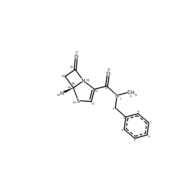 CN(Cc1ccccc1)C(=O)C1=CS[C@@H]2CC(=O)N12